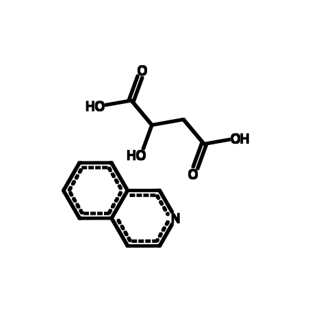 O=C(O)CC(O)C(=O)O.c1ccc2cnccc2c1